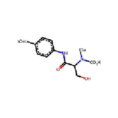 CCCCCCCCCCc1ccc(NC(=O)C(CO)N(C(=O)O)C(C)(C)C)cc1